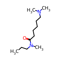 CCCN(C)C(=O)CCCCCN(C)C